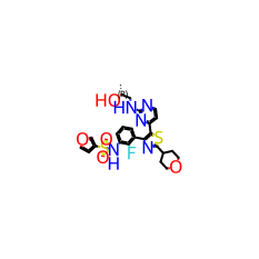 C[C@@H](O)CNc1nccc(-c2sc(C3CCOCC3)nc2-c2cccc(NS(=O)(=O)c3ccoc3)c2F)n1